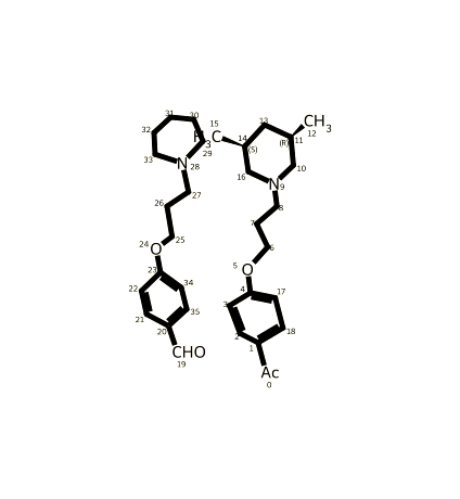 CC(=O)c1ccc(OCCCN2C[C@H](C)C[C@H](C)C2)cc1.O=Cc1ccc(OCCCN2CCCCC2)cc1